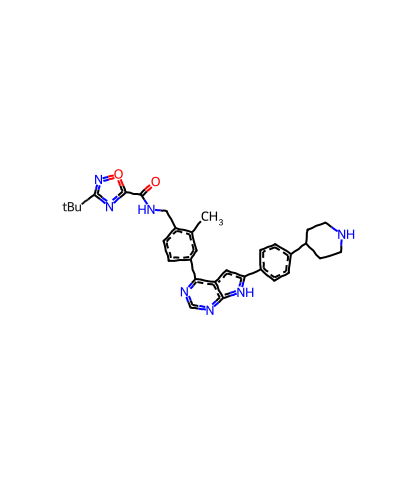 Cc1cc(-c2ncnc3[nH]c(-c4ccc(C5CCNCC5)cc4)cc23)ccc1CNC(=O)c1nc(C(C)(C)C)no1